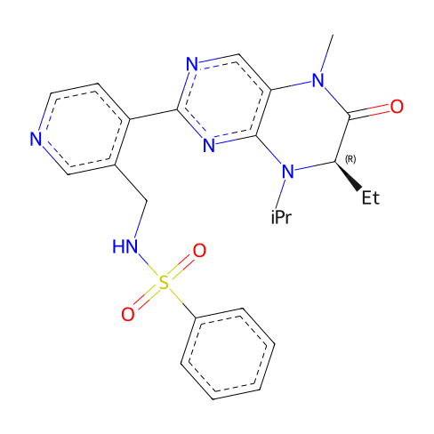 CC[C@@H]1C(=O)N(C)c2cnc(-c3ccncc3CNS(=O)(=O)c3ccccc3)nc2N1C(C)C